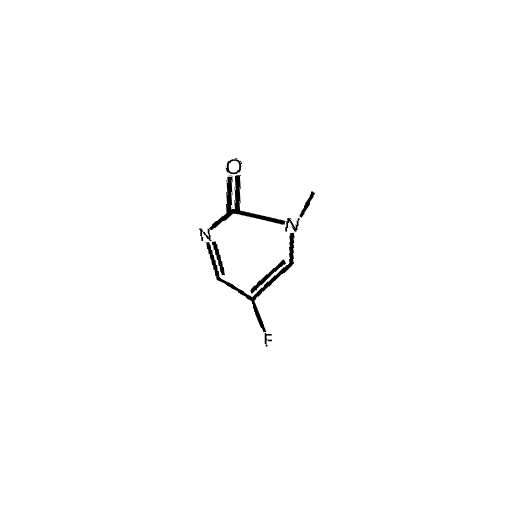 Cn1cc(F)cnc1=O